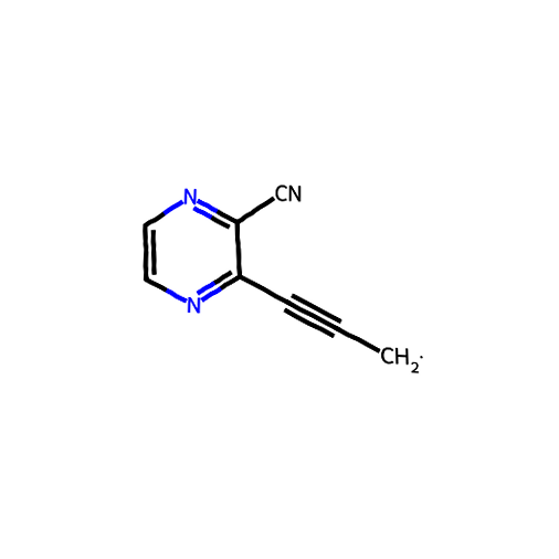 [CH2]C#Cc1nccnc1C#N